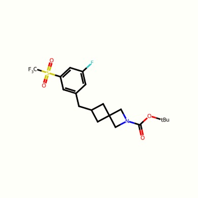 CC(C)(C)OC(=O)N1CC2(CC(Cc3cc(F)cc(S(=O)(=O)C(F)(F)F)c3)C2)C1